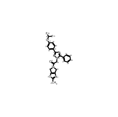 Cc1nc2c(o1)CN(C(=O)Cn1nc(-c3ccc(OC(F)F)cc3)nc1-c1ccccc1)C2